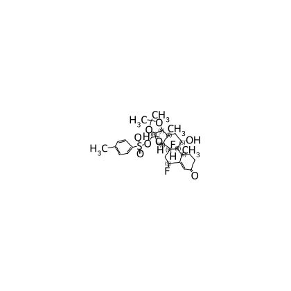 Cc1ccc(S(=O)(=O)OCC(=O)[C@@]23OC(C)(C)O[C@@H]2C[C@H]2[C@@H]4C[C@H](F)C5=CC(=O)CC[C@]5(C)[C@@]4(F)[C@@H](O)C[C@@]23C)cc1